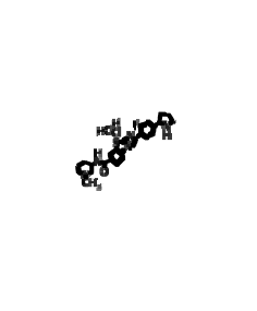 CN1CCC[C@@H](NC(=O)c2ccc3c(c2)sc2nc(-c4ccc(C5CCCN5)cc4F)cn23)C1.Cl.Cl